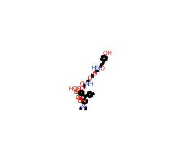 C=c1ccc(=C(c2ccc(N(CC)CC)cc2)c2cc(OCC(=O)NCCOCCOCCNC(=O)/C=C/c3ccc(O)cc3)c(S(=O)(=O)O)cc2S(=O)(=O)O)cc1